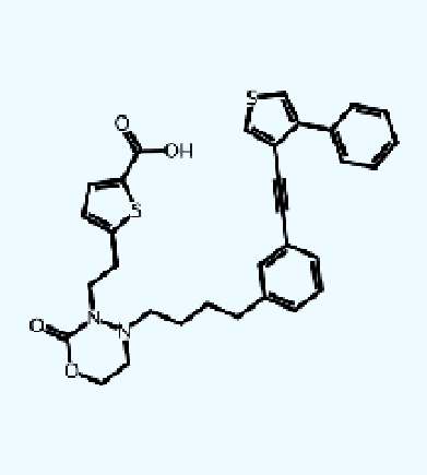 O=C(O)c1ccc(CCN2C(=O)OCCN2CCCCc2cccc(C#Cc3cscc3-c3ccccc3)c2)s1